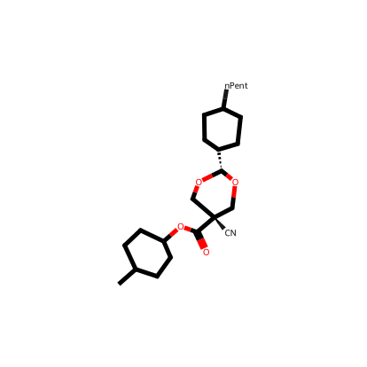 CCCCCC1CCC([C@H]2OC[C@@](C#N)(C(=O)OC3CCC(C)CC3)CO2)CC1